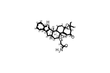 CC1(C)O[C@@]23CC[C@]4(C)[C@@]5(C)c6[nH]c7ccccc7c6C[C@@H]5C[C@H](OCC(N)=O)[C@@]4(O)C2=CC(=O)C1O3